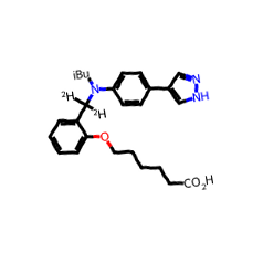 [2H]C([2H])(c1ccccc1OCCCCCC(=O)O)N(c1ccc(-c2cn[nH]c2)cc1)C(C)CC